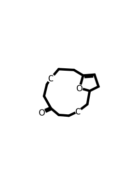 O=C1CCCCCC2=CCC(CCCC1)O2